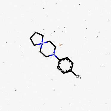 FC(F)(F)c1ccc(N2CC[N+]3(CCCC3)CC2)cc1.[Br-]